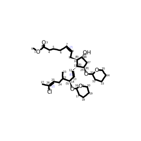 COC(=O)CCC/C=C\C[C@@H]1[C@@H](/C=C/[C@@H](OC2CCCCO2)C(C)C/C=C(/C)Cl)[C@H](OC2CCCCO2)C[C@H]1O